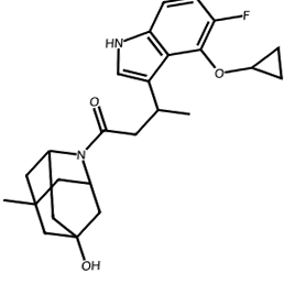 CC(CC(=O)N1C2CC3(C)CC1CC(O)(C2)C3)c1c[nH]c2ccc(F)c(OC3CC3)c12